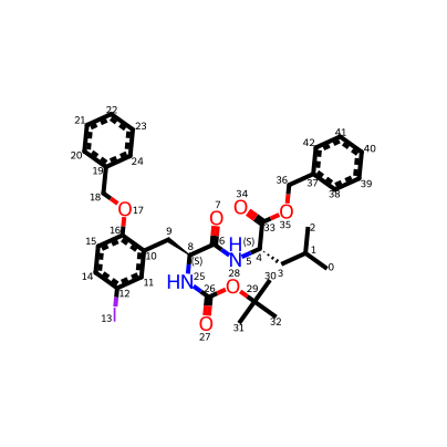 CC(C)C[C@H](NC(=O)[C@H](Cc1cc(I)ccc1OCc1ccccc1)NC(=O)OC(C)(C)C)C(=O)OCc1ccccc1